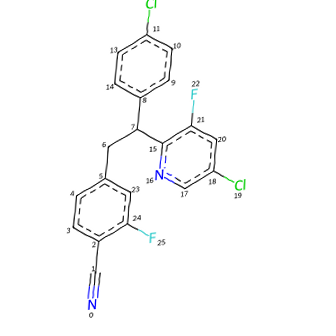 N#Cc1ccc(CC(c2ccc(Cl)cc2)c2ncc(Cl)cc2F)cc1F